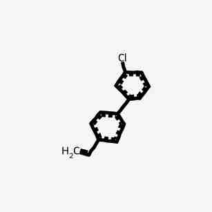 C=Cc1ccc(-c2cccc(Cl)c2)cc1